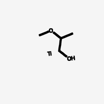 COC(C)CO.[Ti]